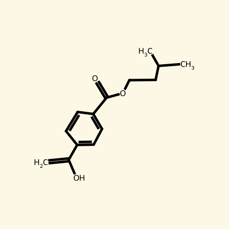 C=C(O)c1ccc(C(=O)OCCC(C)C)cc1